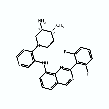 C[C@@H]1CCN(c2ccncc2Nc2cccc3cnc(-c4c(F)cccc4F)nc23)C[C@H]1N